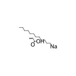 C=CC(=O)O.CCCCCCCCCCC[CH2][Na]